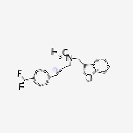 CN(C/C=C/c1ccc(C(F)F)cc1)Cc1coc2ccccc12